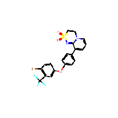 O=S1(=O)CCN2C=CC=C(c3ccc(Oc4ccc(Br)c(C(F)(F)F)c4)cc3)C2=N1